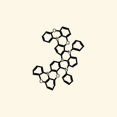 c1ccc(N2c3cccc4c3B(c3ccc5c(c32)Oc2cccc3c2B5c2ccccc2O3)c2ccc3c(c2N4c2ccccc2)Oc2cccc4c2B3c2ccccc2O4)cc1